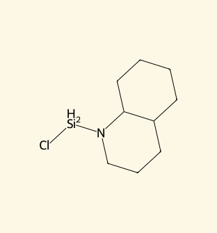 Cl[SiH2]N1CCCC2CCCCC21